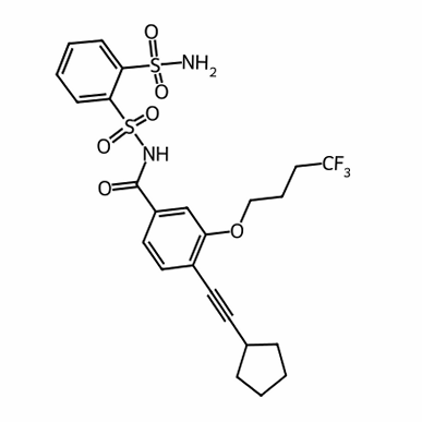 NS(=O)(=O)c1ccccc1S(=O)(=O)NC(=O)c1ccc(C#CC2CCCC2)c(OCCCC(F)(F)F)c1